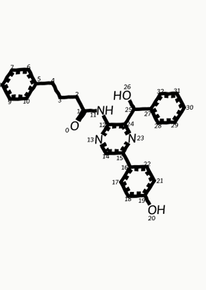 O=C(CCCc1ccccc1)Nc1ncc(-c2ccc(O)cc2)nc1C(O)c1ccccc1